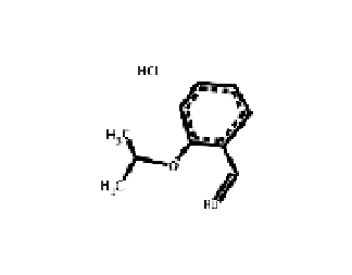 CC(C)Oc1ccccc1[CH]=[Ru].Cl